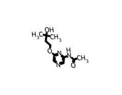 CC(=O)Nc1cncc(OCCC(C)(C)O)n1